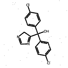 OC(C1=NC=NC1)(c1ccc(Cl)cc1)c1ccc(Cl)cc1